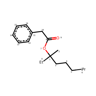 CCC(C)(CCCC(C)C)OC(=O)Cc1ccccc1